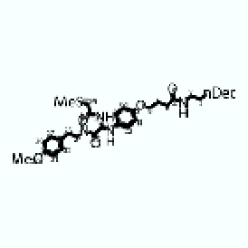 CCCCCCCCCCCCNC(=O)CCCOc1ccc(NC(NC(=O)CSC)C(=O)NCCc2ccc(OC)cc2)cc1